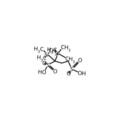 C[Si](C)(C)C(CCS(=O)(=O)O)([Si](C)(C)C)S(=O)(=O)O